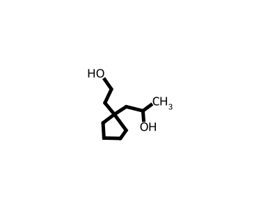 CC(O)CC1(CCO)CCCC1